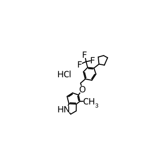 Cc1c(OCc2ccc(C3CCCC3)c(C(F)(F)F)c2)ccc2c1CCN2.Cl